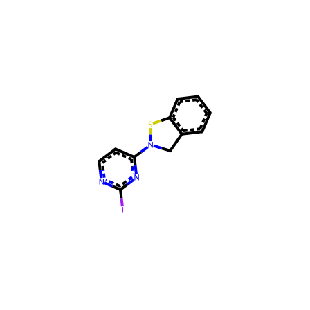 Ic1nccc(N2Cc3ccccc3S2)n1